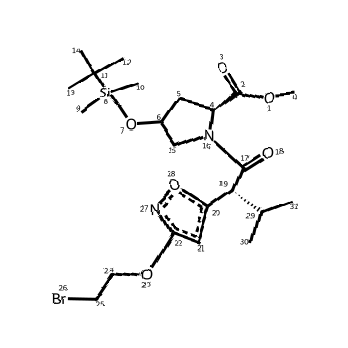 COC(=O)[C@@H]1CC(O[Si](C)(C)C(C)(C)C)CN1C(=O)[C@@H](c1cc(OCCBr)no1)C(C)C